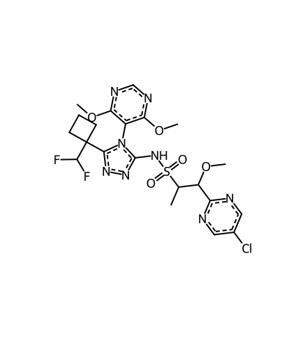 COc1ncnc(OC)c1-n1c(NS(=O)(=O)C(C)C(OC)c2ncc(Cl)cn2)nnc1C1(C(F)F)CCC1